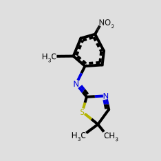 Cc1cc([N+](=O)[O-])ccc1N=C1N=CC(C)(C)S1